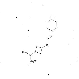 CC(C)(C)N(C(=O)O)C1CC(OCCN2CCNCC2)C1